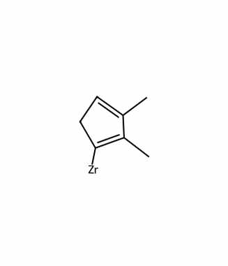 CC1=CC[C]([Zr])=C1C